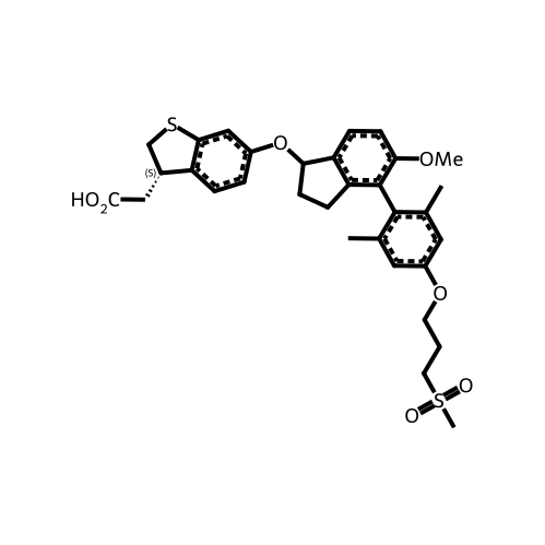 COc1ccc2c(c1-c1c(C)cc(OCCCS(C)(=O)=O)cc1C)CCC2Oc1ccc2c(c1)SC[C@H]2CC(=O)O